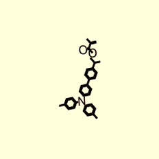 C=C(C)C(=O)OCC(C)c1ccc(-c2ccc(N(c3ccc(C)cc3)c3ccc(C)cc3)cc2)cc1